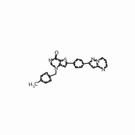 Cc1ccc(Cn2cnc(=O)c3sc(-c4ccc(-c5cc6ncccn6n5)cc4)cc32)cc1